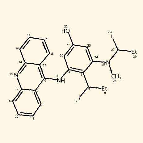 CCC(I)c1c(Nc2c3ccccc3nc3ccccc23)cc(O)cc1N(C)C(I)CC